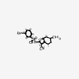 CC1CCc2c(sc(NS(=O)(=O)c3cccc(Br)c3)c2C#N)C1